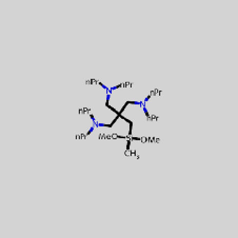 CCCN(CCC)CC(CN(CCC)CCC)(CN(CCC)CCC)C[Si](C)(OC)OC